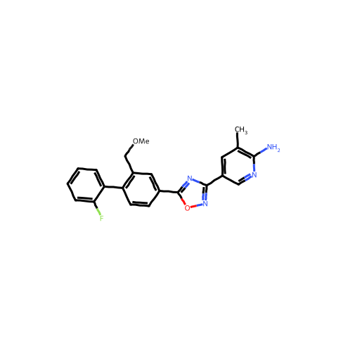 COCc1cc(-c2nc(-c3cnc(N)c(C)c3)no2)ccc1-c1ccccc1F